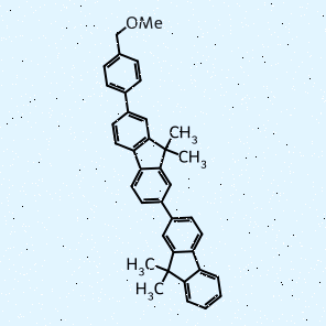 COCc1ccc(-c2ccc3c(c2)C(C)(C)c2cc(-c4ccc5c(c4)C(C)(C)c4ccccc4-5)ccc2-3)cc1